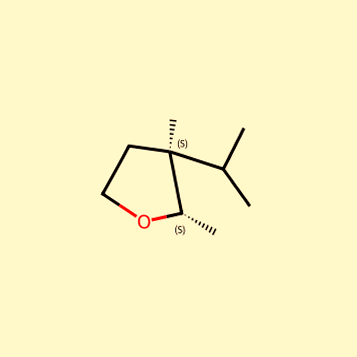 CC(C)[C@]1(C)CCO[C@H]1C